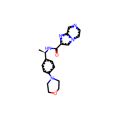 C[C@@H](NC(=O)c1cn2ccncc2n1)c1ccc(N2CCOCC2)cc1